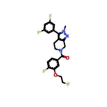 Cn1nc2c(c1-c1cc(F)cc(F)c1)CCN(C(=O)c1ccc(F)c(OCCF)c1)C2